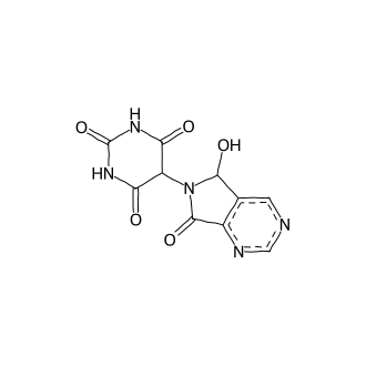 O=C1NC(=O)C(N2C(=O)c3ncncc3C2O)C(=O)N1